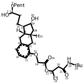 CCCCC[C@H](O)CC[C@@H]1[C@H]2Cc3cccc(OCC(=O)OC(CC)CC(=O)NC(C)(C)C)c3C[C@H]2C[C@H]1O